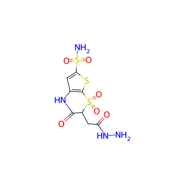 NNC(=O)CC1C(=O)Nc2cc(S(N)(=O)=O)sc2S1(=O)=O